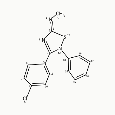 CN=c1nc(-c2ccc(Cl)cc2)n(-c2ccccc2)s1